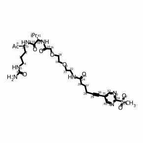 CC(=O)[C@H](CCCNC(N)=O)NC(=O)[C@@H](NC(=O)COCCOCCNC(=O)CCCC#Cc1cnc(S(C)(=O)=O)nc1)C(C)C